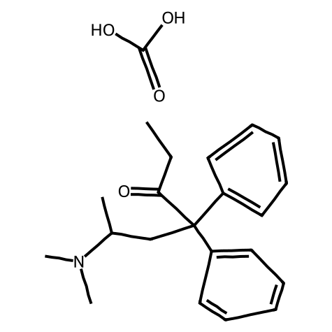 CCC(=O)C(CC(C)N(C)C)(c1ccccc1)c1ccccc1.O=C(O)O